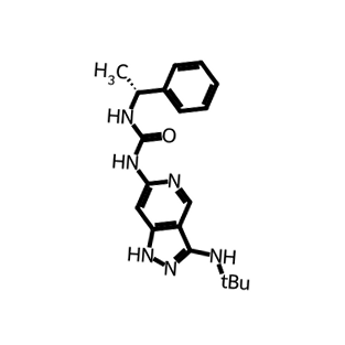 C[C@@H](NC(=O)Nc1cc2[nH]nc(NC(C)(C)C)c2cn1)c1ccccc1